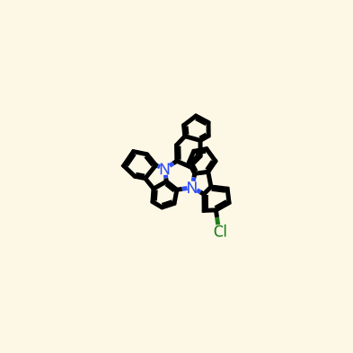 Clc1ccc2c3ccccc3n(-c3cccc4c5ccccc5n(-c5ccc6ccccc6c5)c34)c2c1